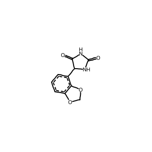 O=C1NC(=O)C(c2cccc3c2OCO3)N1